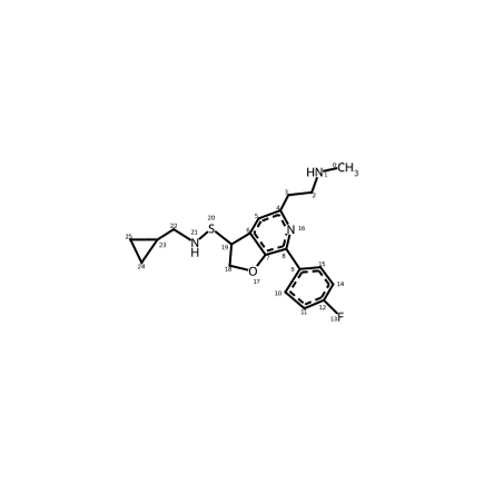 CNCCc1cc2c(c(-c3ccc(F)cc3)n1)OCC2SNCC1CC1